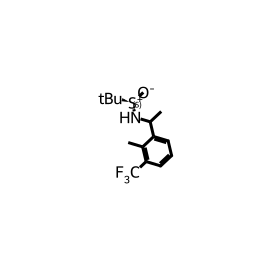 Cc1c(C(C)N[S@+]([O-])C(C)(C)C)cccc1C(F)(F)F